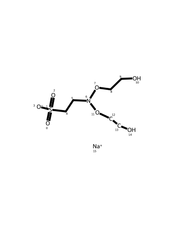 O=S(=O)([O-])CCN(OCCO)OCCO.[Na+]